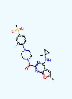 Cc1cc2c(NC3(C)CC3)nc(C(=O)N3CCN(c4ccc(S(C)(=O)=O)cc4F)CC3)nc2o1